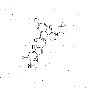 CC(N1CC[C@@]2(C1=O)c1ccc(F)cc1C(=O)N2Cc1cc2nc(N)c(F)cc2[nH]1)C1(C)CC1